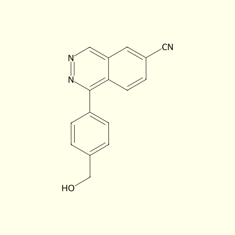 N#Cc1ccc2c(-c3ccc(CO)cc3)nncc2c1